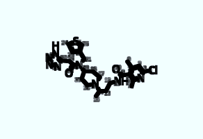 Cc1cc(Cl)nc(C)c1C(=O)NCCC(C)N1CCC(N(Cc2ccsc2)C(=O)Cc2nnn[nH]2)CC1